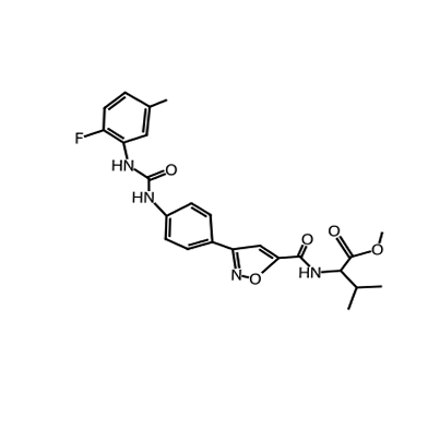 COC(=O)C(NC(=O)c1cc(-c2ccc(NC(=O)Nc3cc(C)ccc3F)cc2)no1)C(C)C